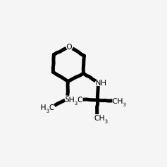 CSC1CCOCC1NC(C)(C)C